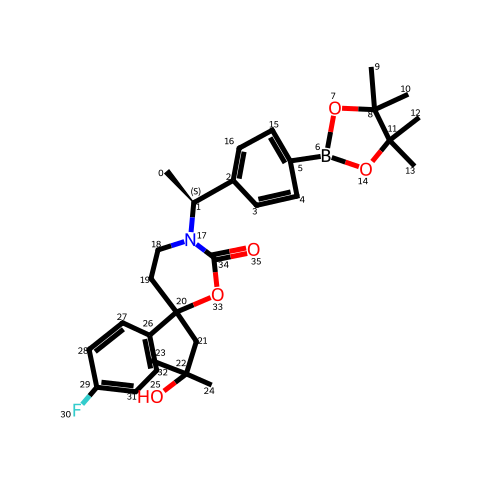 C[C@@H](c1ccc(B2OC(C)(C)C(C)(C)O2)cc1)N1CCC(CC(C)(C)O)(c2ccc(F)cc2)OC1=O